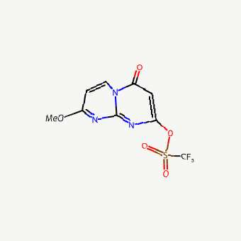 COc1ccn2c(=O)cc(OS(=O)(=O)C(F)(F)F)nc2n1